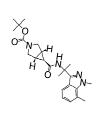 Cc1cccc2c(C(C)(C)NC(=O)[C@H]3[C@@H]4CN(C(=O)OC(C)(C)C)C[C@@H]43)nn(C)c12